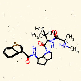 CN[C@@H](C)C(=O)NC(C(=O)N1CCC2CCC(NC(=O)c3csc4ccccc34)C21)C(C)(C)C